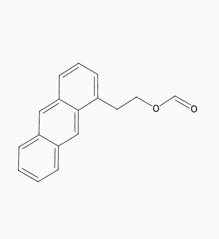 O=COCCc1cccc2cc3ccccc3cc12